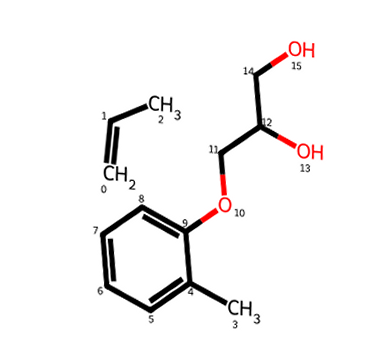 C=CC.Cc1ccccc1OCC(O)CO